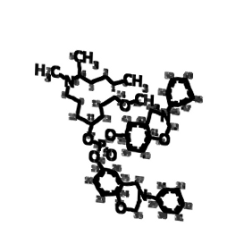 CCCCC(C)N(C)CCCC(CCCOC)OP(=O)(Oc1ccc2c(c1)CN(c1ccccc1)CO2)Oc1ccc2c(c1)CN(c1ccccc1)CO2